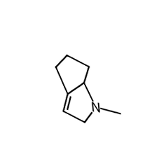 CN1CC=C2CCCC21